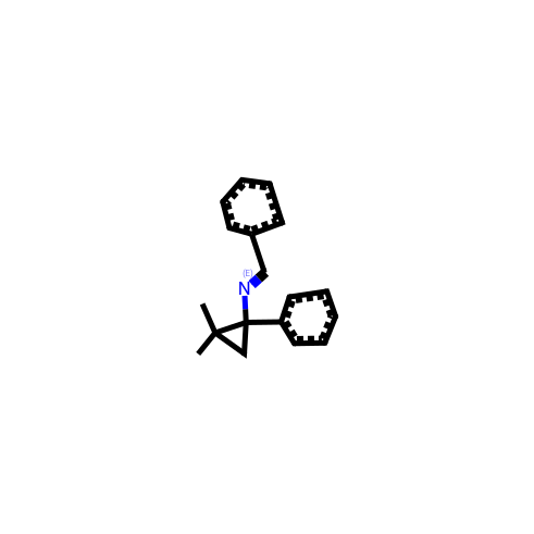 CC1(C)CC1(/N=C/c1ccccc1)c1ccccc1